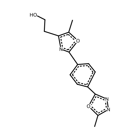 Cc1nnc(-c2ccc(-c3nc(CCO)c(C)o3)cc2)o1